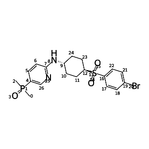 CP(C)(=O)c1ccc(N[C@H]2CC[C@H](S(=O)(=O)c3ccc(Br)cc3)CC2)nc1